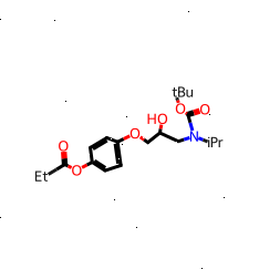 CCC(=O)Oc1ccc(OCC(O)CN(C(=O)OC(C)(C)C)C(C)C)cc1